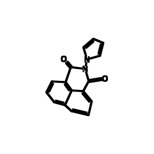 O=C1c2cccc3cccc(c23)C(=O)N1n1cccc1